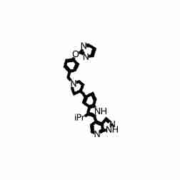 CC(C)c1c(-c2ccnc3[nH]ncc23)[nH]c2ccc(C3CCN(Cc4ccc(Oc5ncccn5)cc4)CC3)cc12